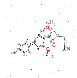 C#CCC1CC(OC)=C(c2c(F)cc(-c3ccc(F)cc3)cc2OC)C1=O